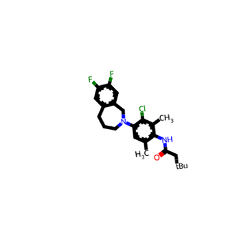 Cc1cc(N2CCCc3cc(F)c(F)cc3C2)c(Cl)c(C)c1NC(=O)CC(C)(C)C